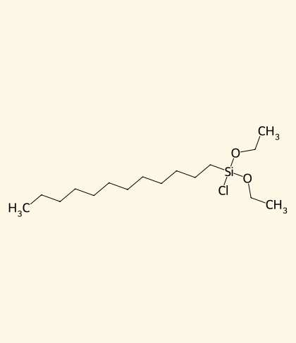 CCCCCCCCCCCC[Si](Cl)(OCC)OCC